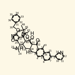 Cc1c2c(cc3ccc(-c4cccnc4)cc13)C[C@H]1C[C@H]3[C@H](N(C)C)c4onc(OCc5ccccc5)c4C(=O)[C@@]3(O[Si](C)(C)C(C)(C)C)C(O)=C1C2=O